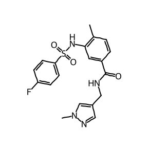 Cc1ccc(C(=O)NCc2cnn(C)c2)cc1NS(=O)(=O)c1ccc(F)cc1